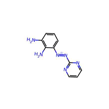 Nc1cccc(/N=N/c2ncccn2)c1N